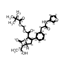 C[C@@H](O)[C@H]1C(=O)N2C(C(=O)OCOC(=O)C(C)(C)C)=C(c3cccc(CC(=O)Nc4ccoc4)c3)C[C@H]12